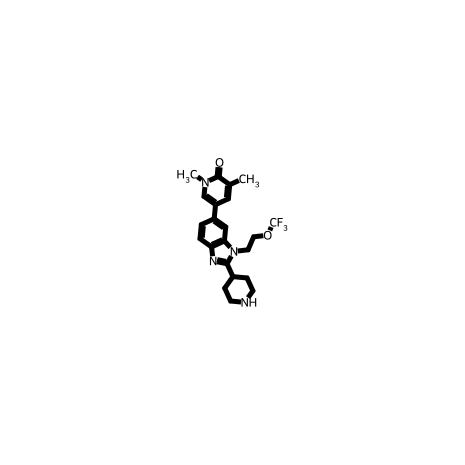 Cc1cc(-c2ccc3nc(C4CCNCC4)n(CCOC(F)(F)F)c3c2)cn(C)c1=O